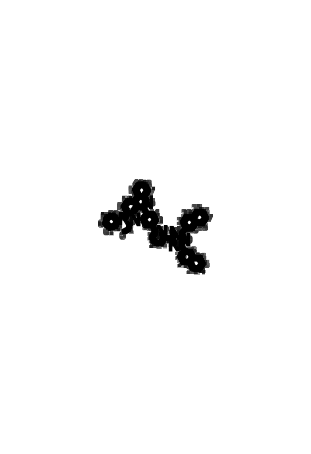 CCc1nc2c3c(-c4ccc(-c5cccc(-c6nc(-c7ccc8ccccc8c7)nc(-c7ccc8ccccc8c7)n6)n5)cc4)nc4ccccc4c3ccc2n1-c1ccccc1